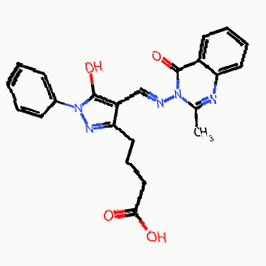 Cc1nc2ccccc2c(=O)n1N=Cc1c(CCCC(=O)O)nn(-c2ccccc2)c1O